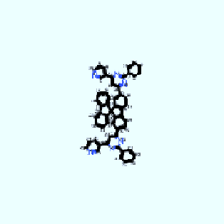 c1ccc(-c2nc(-c3cccnc3)cc(-c3ccc4c(c3)C3(c5ccccc5-c5ccccc53)c3cc(-c5cc(-c6cccnc6)nc(-c6ccccc6)n5)ccc3-4)n2)cc1